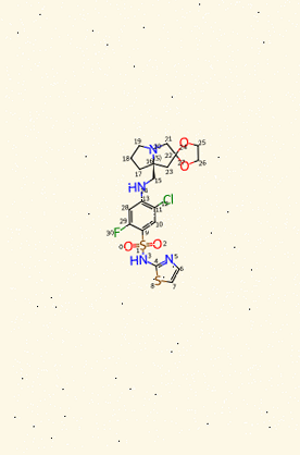 O=S(=O)(Nc1nccs1)c1cc(Cl)c(NC[C@@]23CCCN2CC2(C3)OCCO2)cc1F